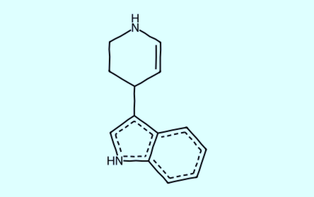 C1=CC(c2c[nH]c3ccccc23)CCN1